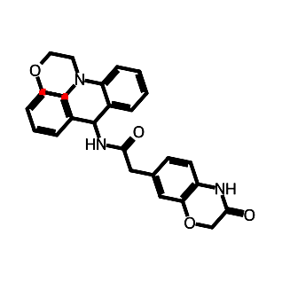 O=C1COc2cc(CC(=O)NC(c3ccccc3)c3ccccc3N3CCOCC3)ccc2N1